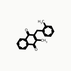 CC1=C(Cc2ccccc2C)C(=O)c2ccccc2C1=O